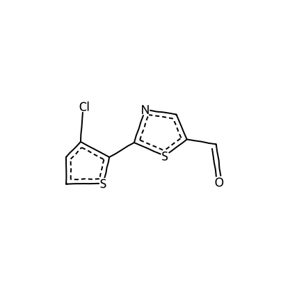 O=Cc1cnc(-c2sccc2Cl)s1